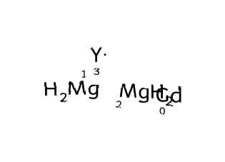 [Gd].[MgH2].[MgH2].[Y]